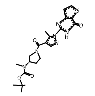 Cc1c(C(=O)N2CC[C@@H](N(C)C(=O)OC(C)(C)C)C2)cnn1-c1nc2ccsc2c(=O)[nH]1